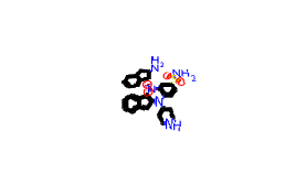 NC1Cc2ccccc2C1.NS(=O)(=O)c1ccc(N(C2CCNCC2)C2Cc3ccccc3C2)c([N+](=O)[O-])c1